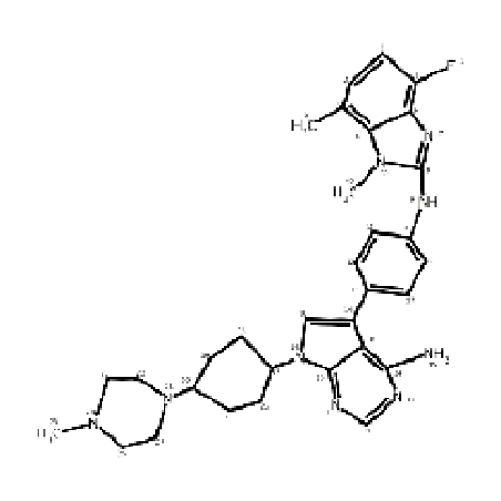 Cc1ccc(F)c2nc(Nc3ccc(-c4cn(C5CCC(N6CCN(C)CC6)CC5)c5ncnc(N)c45)cc3)n(C)c12